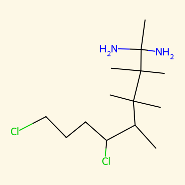 CC(C(Cl)CCCCl)C(C)(C)C(C)(C)C(C)(N)N